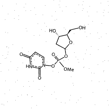 COP(=O)(OC1C[C@H](O)[C@@H](CO)O1)On1ccc(=O)[nH]c1=O